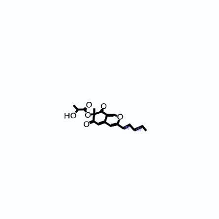 C/C=C/C=C/C1=CC2=CC(=O)C(C)(OC(=O)C(C)O)C(=O)C2=CO1